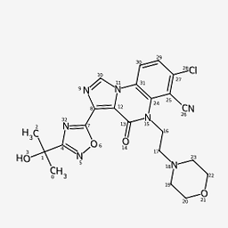 CC(C)(O)c1noc(-c2ncn3c2c(=O)n(CCN2CCOCC2)c2c(C#N)c(Cl)ccc23)n1